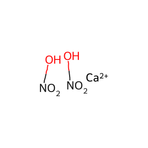 O=[N+]([O-])O.O=[N+]([O-])O.[Ca+2]